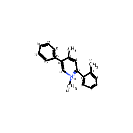 Cc1cc(-c2ccccc2C)[n+](C)cc1-c1ccccc1